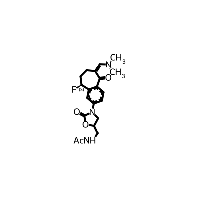 CC(=O)NCC1CN(c2ccc3c(c2)[C@@H](F)CCC(=CN(C)C)C3=O)C(=O)O1